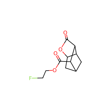 O=C(OCCF)C1C2CC3OC(=O)C1C3C2